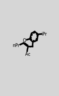 CCCC1=C(C(C)=O)Cc2cc(C(C)C)ccc2O1